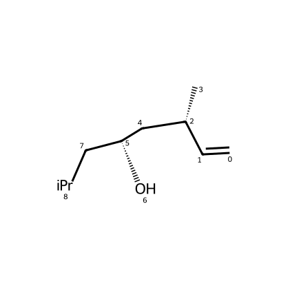 C=C[C@@H](C)C[C@H](O)CC(C)C